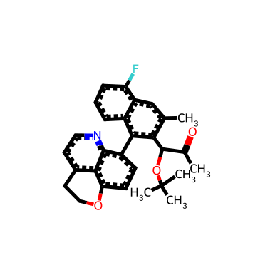 CC(=O)C(OC(C)(C)C)c1c(C)cc2c(F)cccc2c1-c1ccc2c3c(ccnc13)CCO2